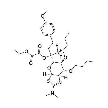 CCCCO[C@@H]1[C@H]2N=C(N(C)C)S[C@H]2O[C@H](C(CCc2ccc(OC)cc2)(OC(=O)C(=O)OCC)C(F)(F)F)[C@H]1OCCCC